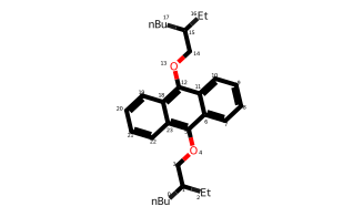 CCCCC(CC)COc1c2ccccc2c(OCC(CC)CCCC)c2ccccc12